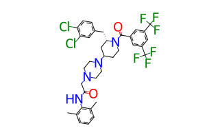 Cc1cccc(C)c1NC(=O)CN1CCN(C2CCN(C(=O)c3cc(C(F)(F)F)cc(C(F)(F)F)c3)[C@@H](Cc3ccc(Cl)c(Cl)c3)C2)CC1